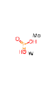 O=[PH](O)O.[Mo].[W]